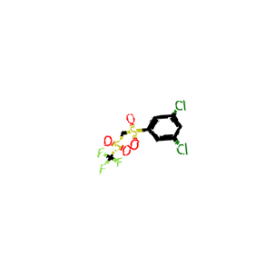 O=S(=O)(CS(=O)(=O)C(F)(F)F)c1cc(Cl)cc(Cl)c1